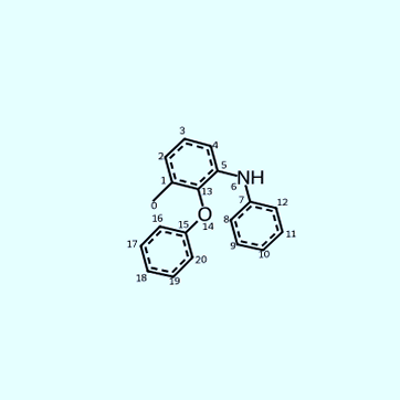 Cc1cccc(Nc2ccccc2)c1Oc1ccccc1